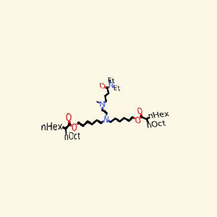 CCCCCCCCC(CCCCCC)C(=O)OCCCCCCN(CCCCCCOC(=O)C(CCCCCC)CCCCCCCC)CCN(C)CCCC(=O)N(CC)CC